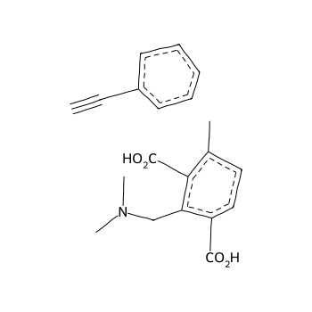 C#Cc1ccccc1.Cc1ccc(C(=O)O)c(CN(C)C)c1C(=O)O